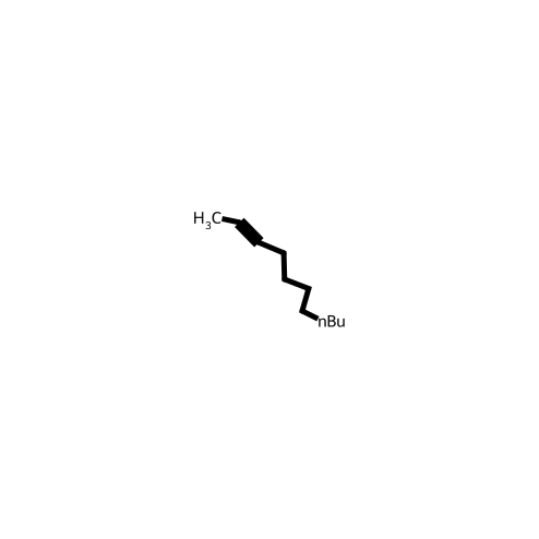 CC#CCCCCCCCC